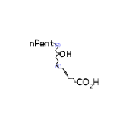 CCCCC/C=C\C[C@@H](O)CC/C=C\CC#CCCCC(=O)O